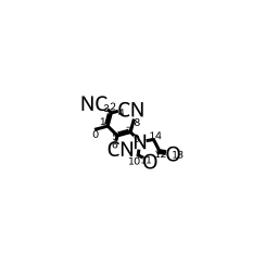 CC(=C(C#N)C#N)/C(C#N)=C(\C)N1COC(=O)C1